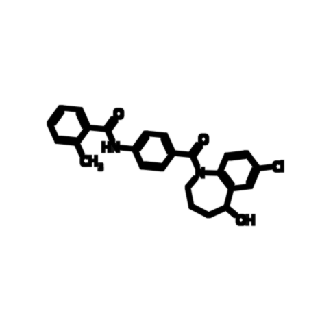 Cc1ccccc1C(=O)Nc1ccc(C(=O)N2CCCC(O)c3cc(Cl)ccc32)cc1